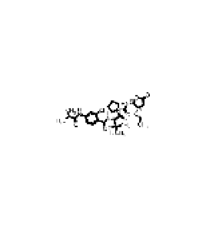 CCO[C@H]1CC(=O)O[C@H]1NC(=O)[N+]1(C(=O)[C@@H](NC(=O)c2ccc(NC(=O)C(C)C)cc2Cl)C(C)(C)C)CCCC1